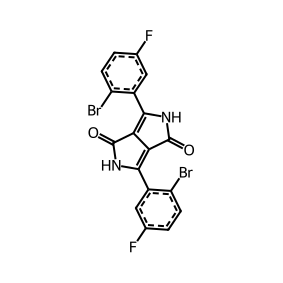 O=C1NC(c2cc(F)ccc2Br)=C2C(=O)NC(c3cc(F)ccc3Br)=C12